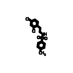 Cc1ccc(S(=O)(=O)NCCc2ccc(Cl)cc2Cl)cc1